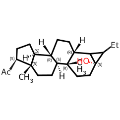 CCC1C2[C@H]3CC[C@@H]4[C@H](CC[C@]5(C)[C@@H](C(C)=O)CC[C@@H]45)[C@@]3(C)CC[C@]12O